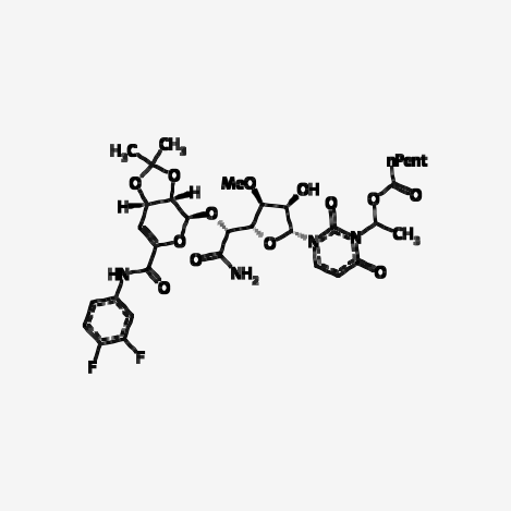 CCCCCC(=O)OC(C)n1c(=O)ccn([C@@H]2O[C@H]([C@@H](O[C@H]3OC(C(=O)Nc4ccc(F)c(F)c4)=C[C@@H]4OC(C)(C)O[C@H]34)C(N)=O)[C@@H](OC)[C@H]2O)c1=O